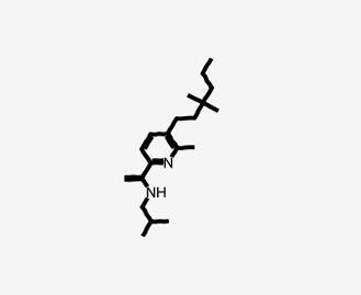 C=C(NCC(C)C)c1ccc(CCC(C)(C)CCC)c(C)n1